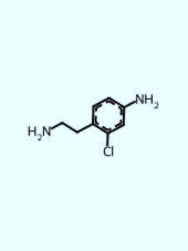 NCCc1ccc(N)cc1Cl